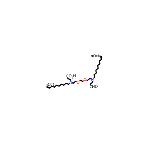 CCCCCCCC/C=C\CCCCCCCCN(CCC=O)CCOCCOCCN(CCCCCCCC/C=C\CCCCCCCC)CCC(=O)O